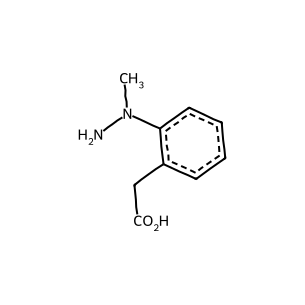 CN(N)c1ccccc1CC(=O)O